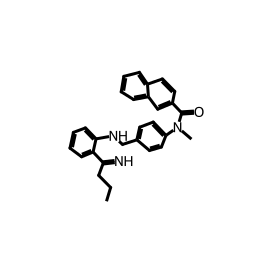 CCCC(=N)c1ccccc1NCc1ccc(N(C)C(=O)c2ccc3ccccc3c2)cc1